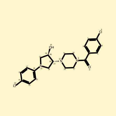 O=C(c1ccc(Cl)cc1)N1CCN([C@@H]2CN(c3ccc(Cl)cc3)C[C@H]2O)CC1